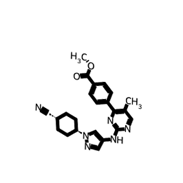 COC(=O)c1ccc(-c2nc(Nc3cnn([C@H]4CC[C@@H](C#N)CC4)c3)ncc2C)cc1